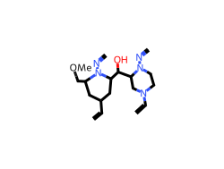 C=CC1CC(COC)N(N=C)C(C(O)C2CN(C=C)CCN2N=C)C1